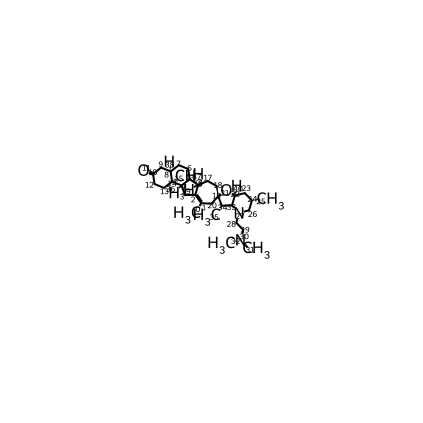 CC1=C2C[C@H]3[C@@H](CC[C@@H]4CC(=O)CC[C@@]43C)[C@@H]2CC[C@@]2(C1)O[C@@H]1C[C@H](C)CN(CCN(C)C)C1[C@H]2C